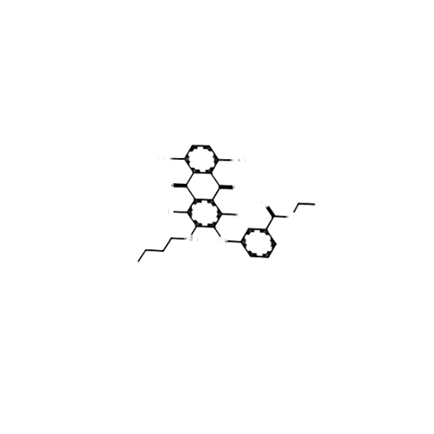 CCCCNc1c(F)c2c(c(F)c1Nc1cccc(C(=O)OCC)c1)C(=O)c1c(O)ccc(O)c1C2=O